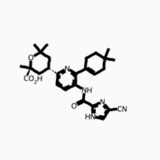 CC1(C)CC=C(c2nc([C@H]3CC(C)(C)O[C@](C)(C(=O)O)C3)ccc2NC(=O)c2nc(C#N)c[nH]2)CC1